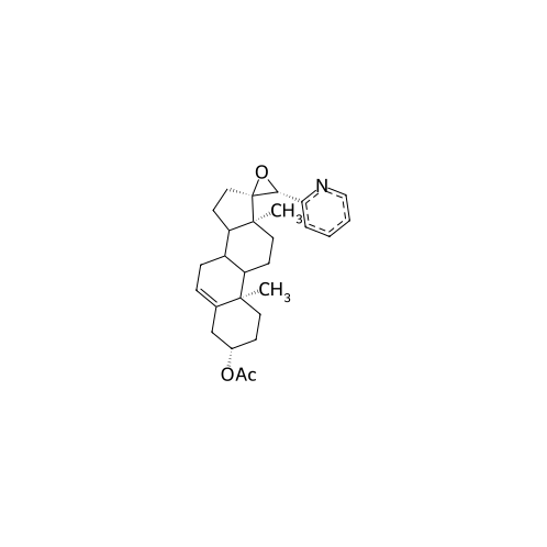 CC(=O)O[C@H]1CC[C@@]2(C)C(=CCC3C2CC[C@@]2(C)C3CC[C@@]23O[C@@H]3c2ccccn2)C1